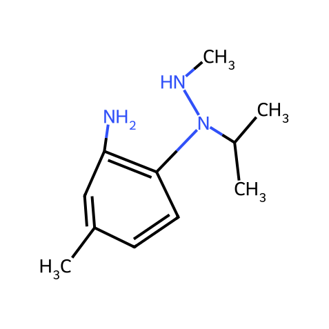 CNN(c1ccc(C)cc1N)C(C)C